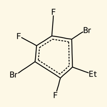 CCc1c(F)c(Br)c(F)c(F)c1Br